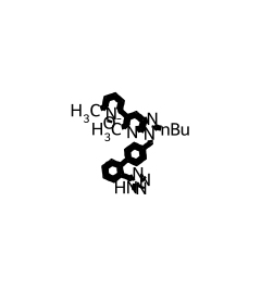 CCCCc1nc2cc(-c3cccc(C)[n+]3[O-])c(C)nc2n1Cc1ccc(-c2ccccc2-c2nnn[nH]2)cc1